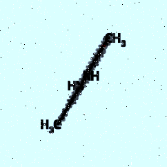 CCCCCCCC/C=C/CCCCCCCCNCCCCNCCCCCCCC/C=C/CCCCCCCC